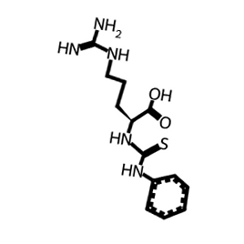 N=C(N)NCCC[C@H](NC(=S)Nc1ccccc1)C(=O)O